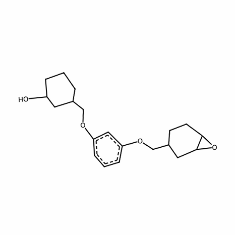 OC1CCCC(COc2cccc(OCC3CCC4OC4C3)c2)C1